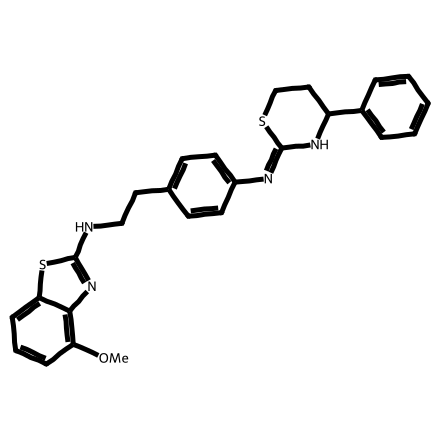 COc1cccc2sc(NCCc3ccc(/N=C4/NC(c5ccccc5)CCS4)cc3)nc12